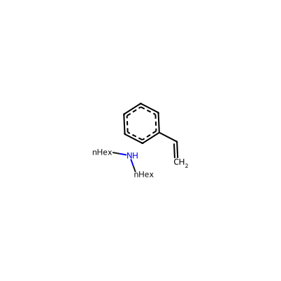 C=Cc1ccccc1.CCCCCCNCCCCCC